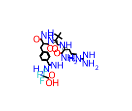 CNC(=O)C(Cc1ccc(C(=N)N)cc1)C(=O)N[C@H](C(=O)N[C@@H](CCCNC(=N)N)C(N)=O)C(C)(C)C.O=C(O)C(F)(F)F